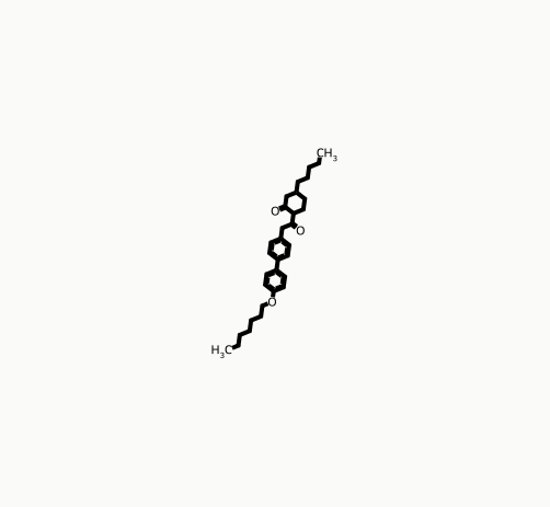 CCCCCCCOc1ccc(-c2ccc(CC(=O)C3CCC(CCCCC)CC3=O)cc2)cc1